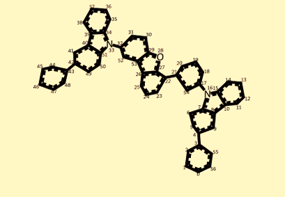 c1ccc(-c2ccc3c(c2)c2ccccc2n3-c2cccc(-c3cccc4c3oc3ccc(-n5c6ccccc6c6cc(-c7ccccc7)ccc65)cc34)c2)cc1